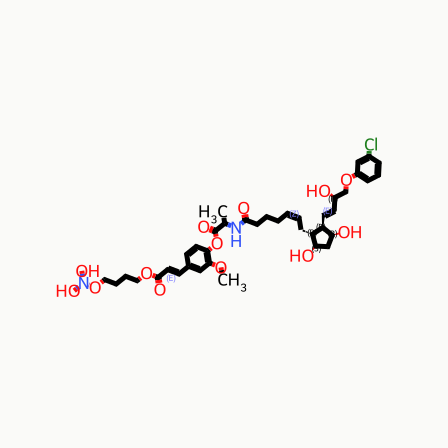 COc1cc(/C=C/C(=O)OCCCCON(O)O)ccc1OC(=O)C(C)NC(=O)CCC/C=C\C[C@@H]1[C@@H](/C=C/[C@@H](O)COc2cccc(Cl)c2)[C@H](O)C[C@@H]1O